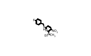 CCN(C)c1nc(NCc2ccc(F)cc2)ccc1[N+](=O)[O-]